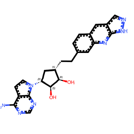 Nc1ncnc2c1ccn2[C@@H]1C[C@H](CCc2ccc3cc4cn[nH]c4nc3c2)[C@@H](O)[C@H]1O